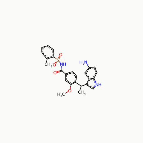 COc1cc(C(=O)NS(=O)(=O)c2ccccc2C)ccc1C(C)c1c[nH]c2ccc(N)cc12